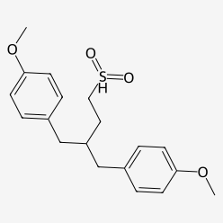 COc1ccc(CC(CC[SH](=O)=O)Cc2ccc(OC)cc2)cc1